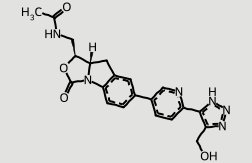 CC(=O)NC[C@@H]1OC(=O)N2c3ccc(-c4ccc(-c5[nH]nnc5CO)nc4)cc3C[C@@H]12